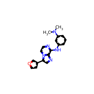 CN(C)c1cccc(Nc2nccn3c(-c4ccoc4)cnc23)c1